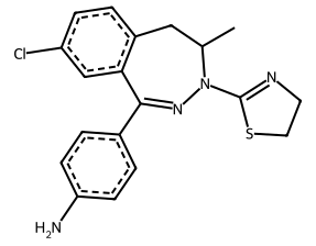 CC1Cc2ccc(Cl)cc2C(c2ccc(N)cc2)=NN1C1=NCCS1